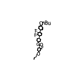 C=CCCOc1ccc(C(=O)Oc2ccc(-c3ccc(-c4ccc(OCCCC)cc4)c(F)c3F)cc2)c(F)c1